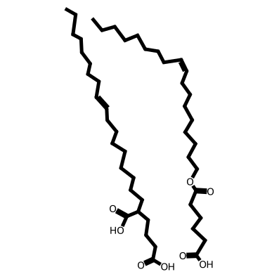 CCCCCCCC/C=C\CCCCCCCCOC(=O)CCCCC(=O)O.CCCCCCCCC=CCCCCCCCCC(CCCC(=O)O)C(=O)O